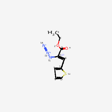 CCOC(=O)/C(=C/c1cccs1)N=[N+]=[N-]